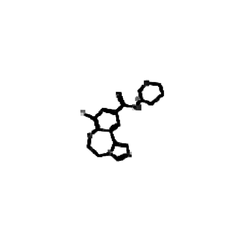 O=C(N[C@@H]1CCCOC1)c1cc(F)c2c(c1)-c1cncn1CCO2